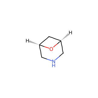 C1NC[C@H]2C[C@@H]1O2